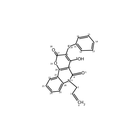 C=CCn1c(=O)c2c(O)c(Sc3ccccc3)c(=O)oc2c2ccccc21